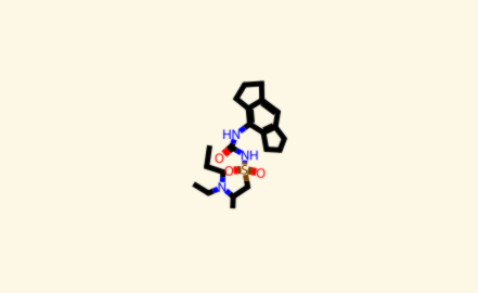 CCCN(CC)C(C)CS(=O)(=O)NC(=O)Nc1c2c(cc3c1CCC3)CCC2